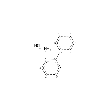 Cl.N.c1ccc(-c2ccccc2)cc1